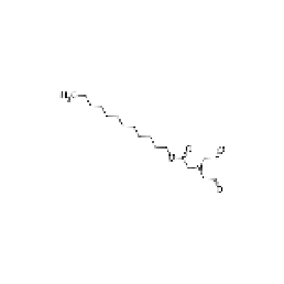 CCCCCCCCCCCCOC(=O)CN(CC=O)CC=O